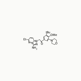 CCc1ccc2n(n1)c(N)n[n+]2CC(=O)c1cc(N2CCOCC2)c(OC)c(C(C)(C)C)c1